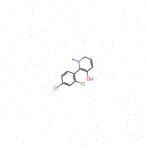 CN1CC=CC(O)=C1c1ccc(Cl)cc1Cl